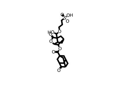 O=C1C2CC3CC1CC(C(=O)OC1C4CC5C1OC(=O)C5(C(O)OCCCS(=O)(=O)O)C4)(C3)C2